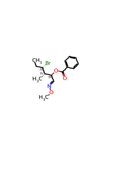 CC[C@H](Br)[C@@H](C)[C@H](C=NOC)OC(=O)c1ccccc1